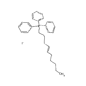 CCCCCC=CCCC[P+](c1ccccc1)(c1ccccc1)c1ccccc1.[I-]